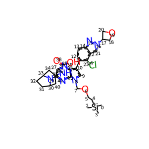 C[Si](C)(C)CCOCn1cc(-c2ccc3nn(C4COC4)cc3c2Cl)c2ncc(N3C4CCC3CC(NC(=O)O)C4)nc21